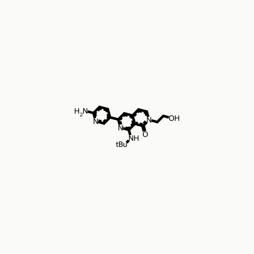 CC(C)(C)Nc1nc(-c2ccc(N)nc2)cc2ccn(CCO)c(=O)c12